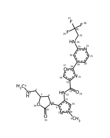 CNCC1CN(c2nn(C)cc2NC(=O)c2coc(-c3ccnc(NCC(F)(F)F)c3)n2)C(=O)O1